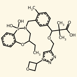 CCC1CN(Cc2cc(C(OCc3cn(C4COC4)nn3)C(C)(C)C(=O)O)ccc2C)S(O)(O)c2ccccc2O1